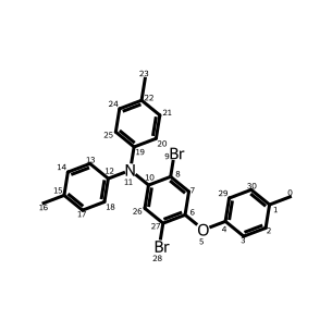 Cc1ccc(Oc2cc(Br)c(N(c3ccc(C)cc3)c3ccc(C)cc3)cc2Br)cc1